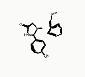 CN1CC(=O)NC1c1ccc(O)cc1.CNCc1ccccc1